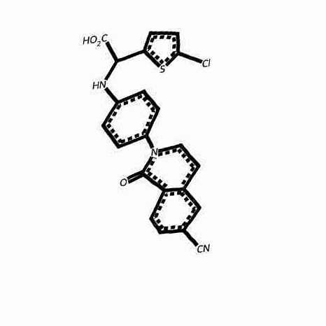 N#Cc1ccc2c(=O)n(-c3ccc(NC(C(=O)O)c4ccc(Cl)s4)cc3)ccc2c1